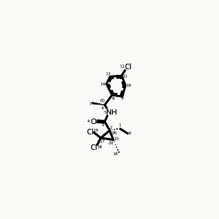 CC[C@]1(C(=O)N[C@@H](C)c2ccc(Cl)cc2)[C@H](C)C1(Cl)Cl